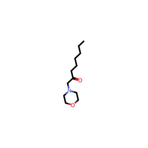 CCCCCCC(=O)CN1CCOCC1